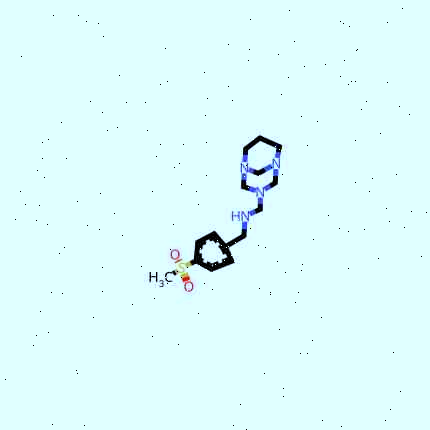 CS(=O)(=O)c1ccc(CNCN2CN3CCCN(C3)C2)cc1